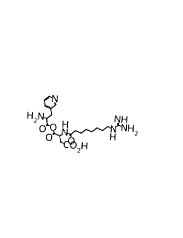 N=C(N)NCCCCCCCC(=O)N[C@@H](CC(=O)O)C(=O)OC(=O)[C@@H](N)Cc1cccnc1